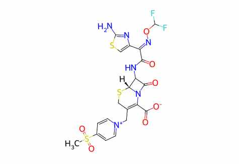 CS(=O)(=O)c1cc[n+](CC2=C(C(=O)[O-])N3C(=O)C(NC(=O)/C(=N/OC(F)F)c4csc(N)n4)[C@H]3SC2)cc1